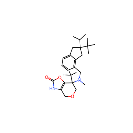 CC(C)C1(C(C)(C)C)Cc2cccc(CN(C)C3(C(C)(C)C)COCc4[nH]c(=O)oc43)c2C1